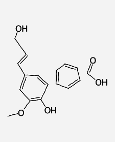 COc1cc(/C=C/CO)ccc1O.O=CO.c1ccccc1